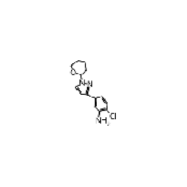 Nc1cc(-c2ccn(C3CCCCO3)n2)ccc1Cl